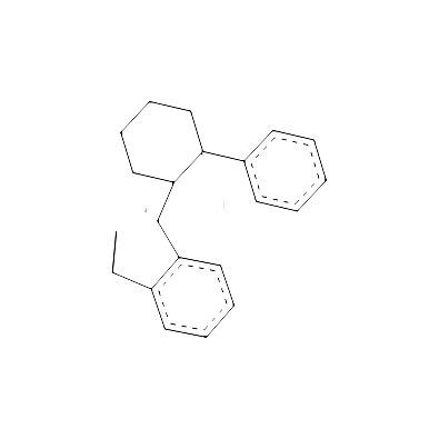 C[C@]1([C@H]2CCc3ccccc32)CCCC[C]1c1ccccc1